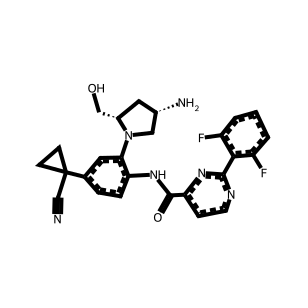 N#CC1(c2ccc(NC(=O)c3ccnc(-c4c(F)cccc4F)n3)c(N3C[C@@H](N)C[C@H]3CO)c2)CC1